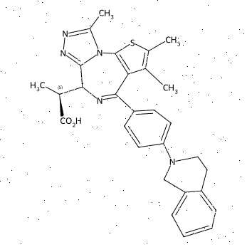 Cc1sc2c(c1C)C(c1ccc(N3CCc4ccccc4C3)cc1)=NC([C@H](C)C(=O)O)c1nnc(C)n1-2